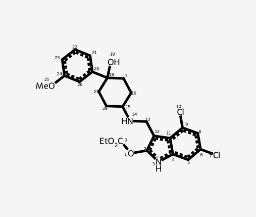 CCOC(=O)Oc1[nH]c2cc(Cl)cc(Cl)c2c1CNC1CCC(O)(c2cccc(OC)c2)CC1